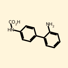 Nc1ccccc1-c1ccc(NC(=O)O)cc1